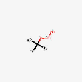 CC(C)(C)OBO